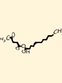 CCCCCCCCCCC(O)OC(=O)CCC(C)=O